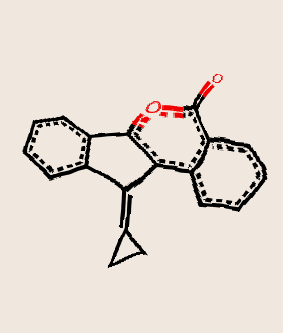 O=c1oc2c(c3ccccc13)C(=C1CC1)c1ccccc1-2